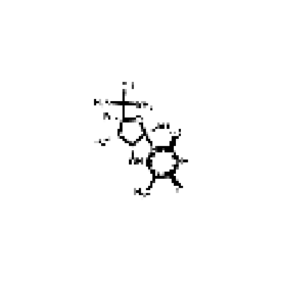 BC(B)(O)[C@@]1(F)O[C@@](B)(n2cc(C)c(=O)[nH]c2=O)[C@H](O)[C@@H]1O